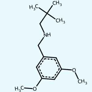 COc1cc(CNCC(C)(C)C)cc(OC)c1